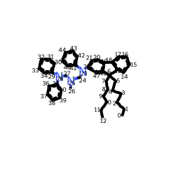 CCCCCCC1(CCCCCC)c2ccccc2-c2ccc(N(CN(C)CN(c3ccccc3)c3ccccc3)c3ccccc3)cc21